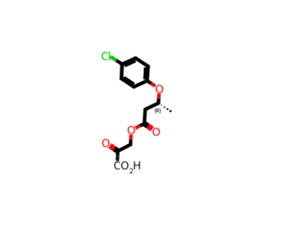 C[C@H](CC(=O)OCC(=O)C(=O)O)Oc1ccc(Cl)cc1